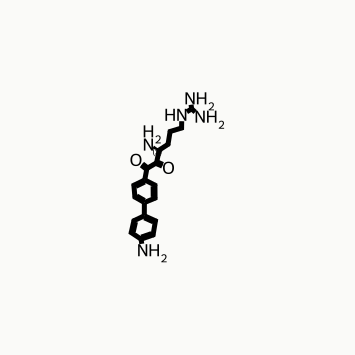 Nc1ccc(-c2ccc(C(=O)C(=O)[C@@H](N)CCCNC(N)N)cc2)cc1